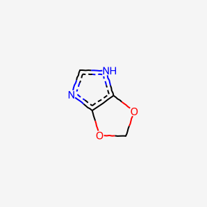 c1nc2c([nH]1)OCO2